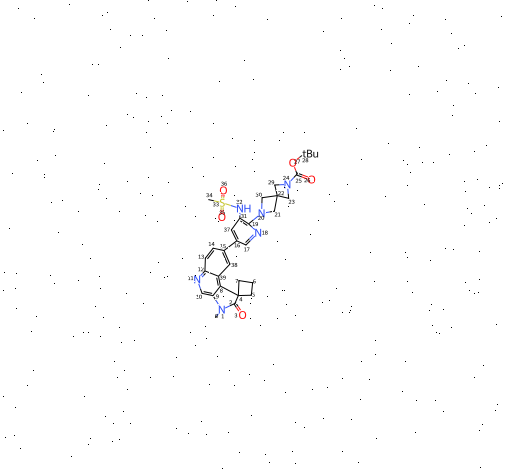 CN1C(=O)C2(CCC2)c2c1cnc1ccc(-c3cnc(N4CC5(CN(C(=O)OC(C)(C)C)C5)C4)c(NS(C)(=O)=O)c3)cc21